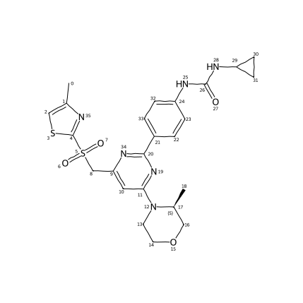 Cc1csc(S(=O)(=O)Cc2cc(N3CCOC[C@@H]3C)nc(-c3ccc(NC(=O)NC4CC4)cc3)n2)n1